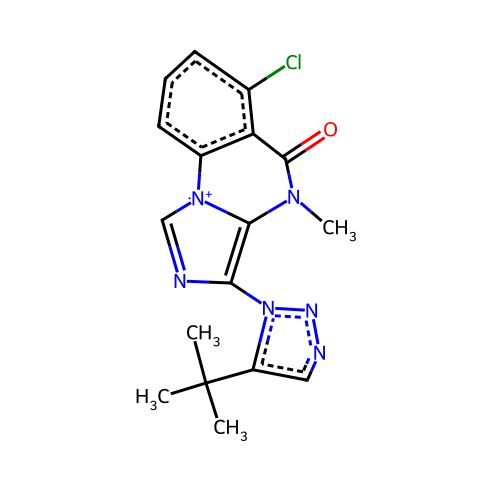 CN1C(=O)c2c(Cl)cccc2[N+]2C=NC(n3nncc3C(C)(C)C)=C12